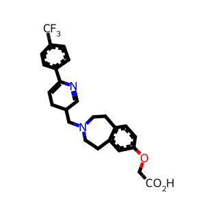 O=C(O)COc1ccc2c(c1)CCN(CC1C=NC(c3ccc(C(F)(F)F)cc3)=CC1)CC2